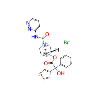 O=C(O[C@H]1C[N+]2(C(=O)Nc3cccnn3)CCC1CC2)C(O)(c1ccccc1)c1ccsc1.[Br-]